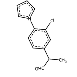 CC(C=O)c1ccc(-n2cccc2)c(Cl)c1